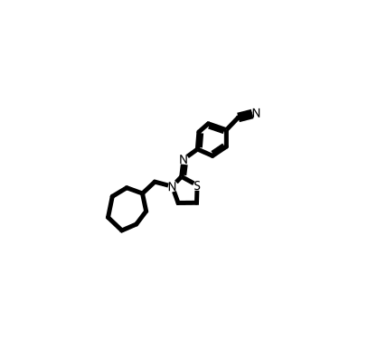 N#Cc1ccc(N=C2SCCN2CC2CCCCCC2)cc1